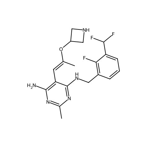 C/C(=C\c1c(N)nc(C)nc1NCc1cccc(C(F)F)c1F)OC1CNC1